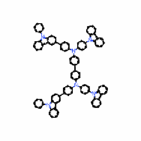 c1ccc(-n2c3ccccc3c3cc(-c4ccc(N(c5ccc(-c6ccc(N(c7ccc(-c8ccc9c(c8)c8ccccc8n9-c8ccccc8)cc7)c7ccc(-n8c9ccccc9c9ccccc98)cc7)cc6)cc5)c5ccc(-n6c7ccccc7c7ccccc76)cc5)cc4)ccc32)cc1